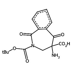 CC(C)(C)OC(=O)N1CC(N)(C(=O)O)C(=O)c2ccccc2C1=O